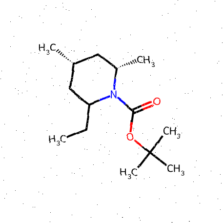 CCC1C[C@H](C)C[C@H](C)N1C(=O)OC(C)(C)C